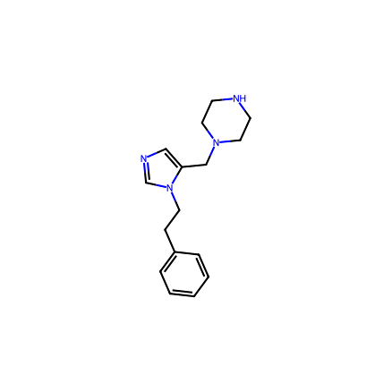 c1ccc(CCn2cncc2CN2CCNCC2)cc1